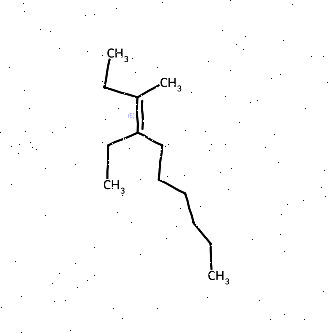 CCCCCC/C(CC)=C(\C)CC